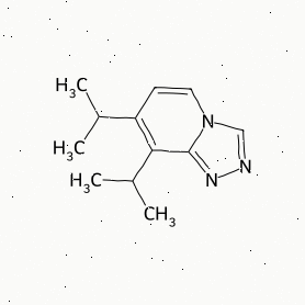 CC(C)c1ccn2cnnc2c1C(C)C